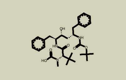 CN(C(=O)O)[C@H](C(=O)N[C@@H](Cc1ccccc1)[C@H](O)C[C@H](Cc1ccccc1)NC(=O)OC(C)(C)C)C(C)(C)C